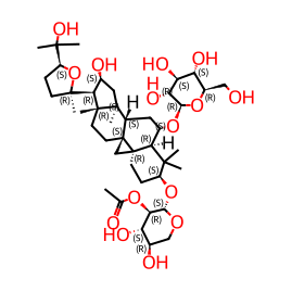 CC(=O)O[C@H]1[C@H](O[C@H]2CC[C@]34C[C@]35CC[C@]3(C)[C@@H]([C@@]6(C)CC[C@@H](C(C)(C)O)O6)[C@@H](O)C[C@@]3(C)[C@@H]5C[C@H](O[C@@H]3O[C@H](CO)[C@@H](O)[C@H](O)[C@H]3O)[C@H]4C2(C)C)OC[C@@H](O)[C@@H]1O